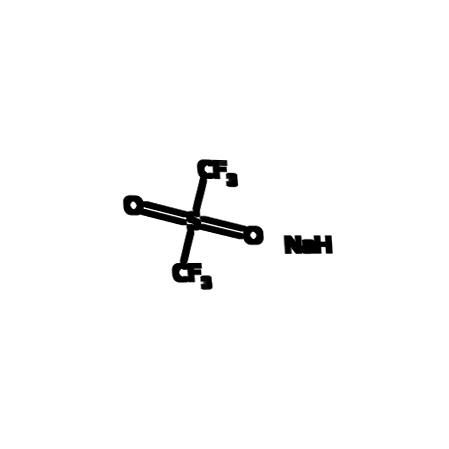 O=S(=O)(C(F)(F)F)C(F)(F)F.[NaH]